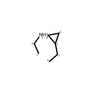 CCC1CC1.CCN